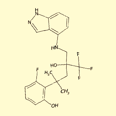 CC(C)(CC(O)(CNc1cccc2[nH]ncc12)C(F)(F)F)c1c(O)cccc1F